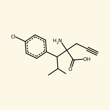 C#CCC(N)(C(=O)O)C(c1ccc(Cl)cc1)C(C)C